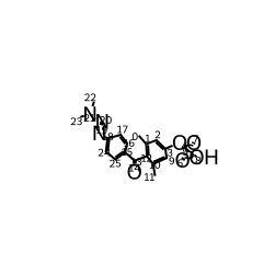 Cc1cc(OS(=O)(=O)O)cc(C)c1C(=O)c1ccc(N=NN(C)C)cc1